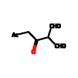 CC(=O)CC(=O)C(C=O)C=O